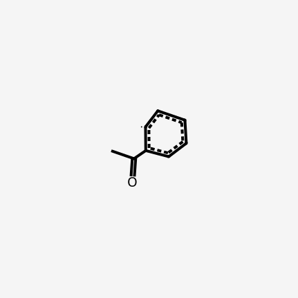 CC(=O)c1[c]cccc1